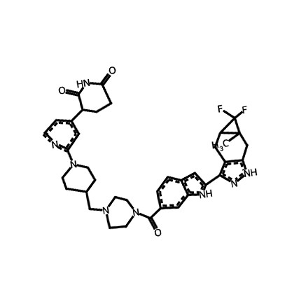 CC12Cc3[nH]nc(-c4cc5ccc(C(=O)N6CCN(CC7CCN(c8cc(C9CCC(=O)NC9=O)ccn8)CC7)CC6)cc5[nH]4)c3CC1C2(F)F